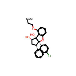 CNCCOc1cccc2c1[C@]1(O)[C@@H](O)C[C@@H](c3ccccc3)[C@]1(c1ccc(Cl)cc1)O2